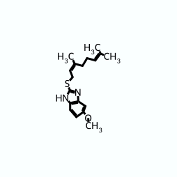 COc1ccc2[nH]c(SCC=C(C)CCC=C(C)C)nc2c1